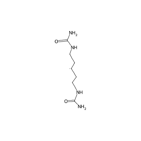 NC(=O)NCC[CH]CCNC(N)=O